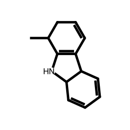 CC1CC=CC2=C1NC1C=CC=CC21